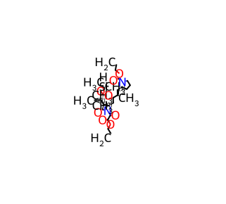 C=CCOC(=O)C(=O)N1C(=O)[C@@H]([C@@H](CO[SiH](C)C)C(C)(C)C)[C@H]1CC(=O)C(C)=C[C@@H]1CCCN1C(=O)OCC=C